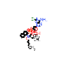 CCCCCON(c1cccc2ccccc12)[C@@H](CC(C)C)C(=O)OP(=O)(O)O[C@H]1C[C@H](n2cnc3c(N)nc(Cl)nc32)O[C@@H]1CO